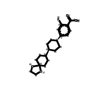 O=C(O)c1ccc([C@H]2CC[C@H](C3CCC4(CC3)OCCO4)CC2)cc1F